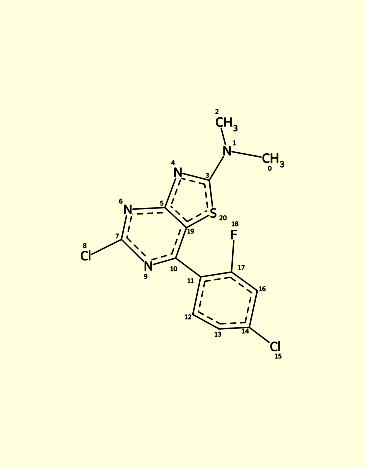 CN(C)c1nc2nc(Cl)nc(-c3ccc(Cl)cc3F)c2s1